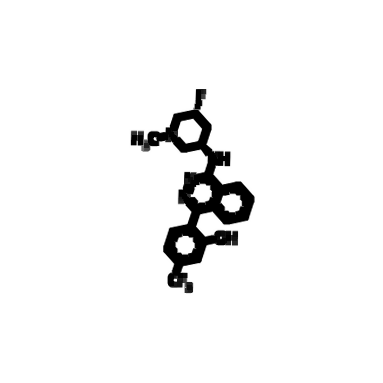 CN1C[C@H](F)C[C@@H](Nc2nnc(-c3ccc(C(F)(F)F)cc3O)c3ccccc23)C1